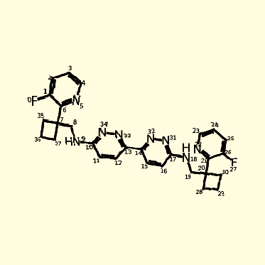 Fc1cccnc1C1(CNc2ccc(-c3ccc(NCC4(c5ncccc5F)CCC4)nn3)nn2)CCC1